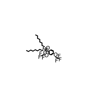 CCCCCCCCN(CCCCCCCC)S(=O)(=O)c1ccc(OCC(F)(F)F)cc1OCC(F)(F)F